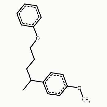 CC(CCCOc1cc[c]cc1)c1ccc(OC(F)(F)F)cc1